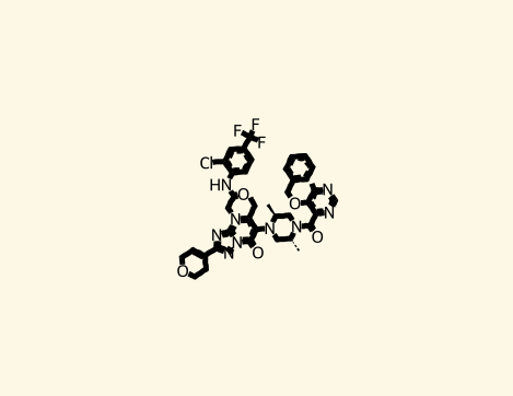 CCc1c(N2C[C@@H](C)N(C(=O)c3ncnc(C)c3OCc3ccccc3)C[C@@H]2C)c(=O)n2nc(C3=CCOCC3)nc2n1CC(=O)Nc1ccc(C(F)(F)F)cc1Cl